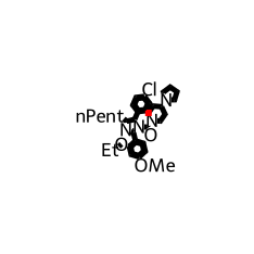 CCCCCC1N=C(c2ccc(OC)cc2OCC)N(C(=O)N2CCC(N3CCCC3)CC2)C1c1ccc(Cl)cc1